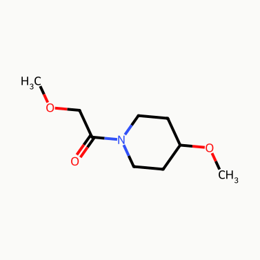 COCC(=O)N1CCC(OC)CC1